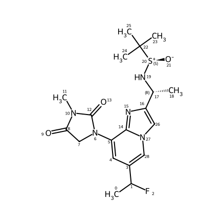 CC(F)c1cc(N2CC(=O)N(C)C2=O)c2nc([C@@H](C)N[S@+]([O-])C(C)(C)C)cn2c1